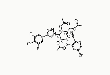 CC(=O)OC[C@H]1O[C@H](Sc2cc(Br)cnc2C#N)[C@H](OC(C)=O)[C@@H](n2cc(-c3cc(F)c(Cl)c(F)c3)nn2)[C@H]1OC(C)=O